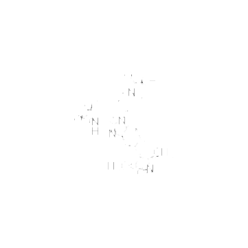 CC(=O)N1CCC(n2c([C@@H]3CCOC(=O)N3)nc3cc(-c4c(C)noc4C)ccc32)CC1